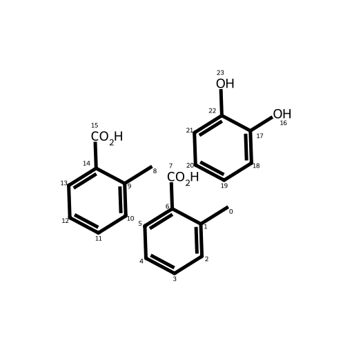 Cc1ccccc1C(=O)O.Cc1ccccc1C(=O)O.Oc1ccccc1O